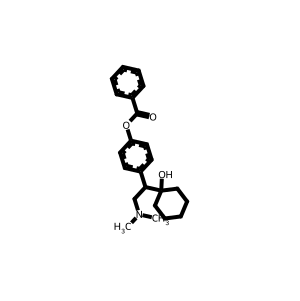 CN(C)CC(c1ccc(OC(=O)c2ccccc2)cc1)C1(O)CCCCC1